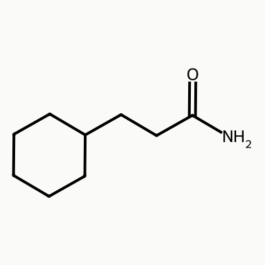 NC(=O)CCC1CCCCC1